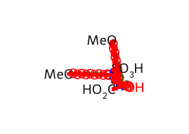 COCCOCCOCCOCCOCCOCCOCCOCCOCCOOCCN1C(=CC=C2CCCC(C=CC3=[N+](CCCCCC(=O)O)c4ccc(SOOO)cc4C3(C)CCOOCCOCCOCCOCCOCCOCCOCCOCCOCCOC)=C2Cl)C(C)(C)c2cc(S(=O)(=O)O)ccc21